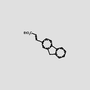 CCOC(=O)C=Cc1ccc2c(c1)Cc1ccccc1-2